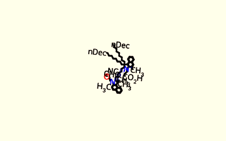 CCCCCCCCCCCCCCCCCCC1(CCCCCCCCCCCCCCCCCC)C(/C=C/C(C#N)=C/C=C2/N(CCOC=O)c3c(C)cc4ccccc4c3C2(C)C)=[N+](CCC(=O)O)c2c(C)cc3ccccc3c21